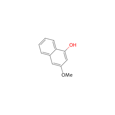 COc1cc(O)c2ccccc2c1